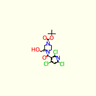 CC(C)(C)OC(=O)N1CCN(C(=O)c2c(Cl)cc(Cl)nc2Cl)[C@@H](CO)C1